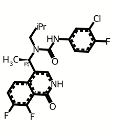 CC(C)CN(C(=O)Nc1ccc(F)c(Cl)c1)[C@H](C)c1c[nH]c(=O)c2c(F)c(F)ccc12